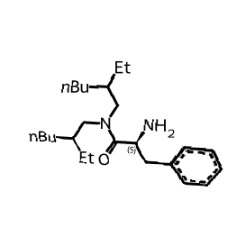 CCCCC(CC)CN(CC(CC)CCCC)C(=O)[C@@H](N)Cc1ccccc1